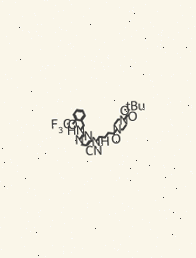 CC(C)(C)OC(=O)N1CCN(C(=O)CCCNc2nc(NCc3ccccc3OC(F)(F)F)ncc2C#N)CC1